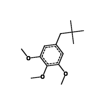 COc1cc(CC(C)(C)C)cc(OC)c1OC